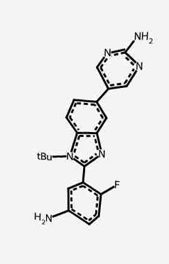 CC(C)(C)n1c(-c2cc(N)ccc2F)nc2cc(-c3cnc(N)nc3)ccc21